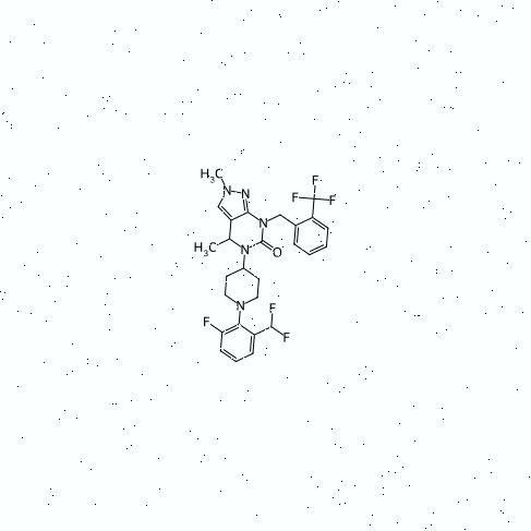 CC1c2cn(C)nc2N(Cc2ccccc2C(F)(F)F)C(=O)N1C1CCN(c2c(F)cccc2C(F)F)CC1